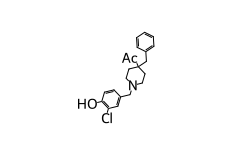 CC(=O)C1(Cc2ccccc2)CCN(Cc2ccc(O)c(Cl)c2)CC1